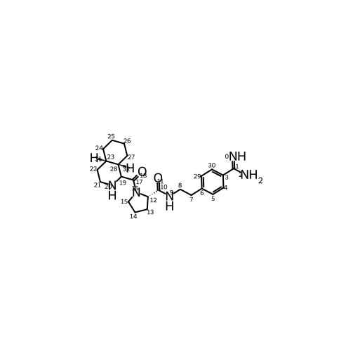 N=C(N)c1ccc(CCNC(=O)[C@@H]2CCCN2C(=O)C2NCC[C@@H]3CCCC[C@H]23)cc1